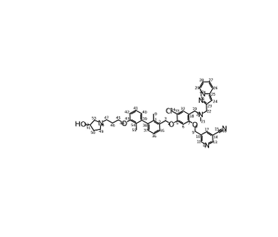 Cc1c(COc2cc(OCc3cncc(C#N)c3)c(CN(C)Cc3cc4ccccn4n3)cc2Cl)cccc1-c1cccc(OCCCN2CCC(O)C2)c1C